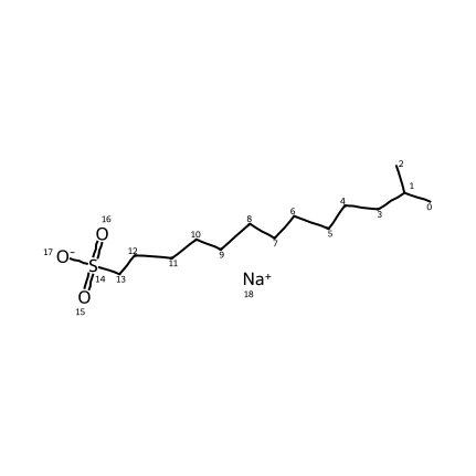 CC(C)CCCCCCCCCCCS(=O)(=O)[O-].[Na+]